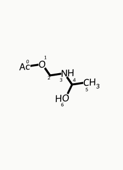 CC(=O)OCNC(C)O